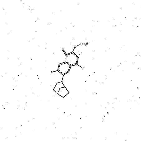 CCn1cc(OC(=O)O)c(=O)c2cc(F)c(N3CCN4CCC3C4)cc21